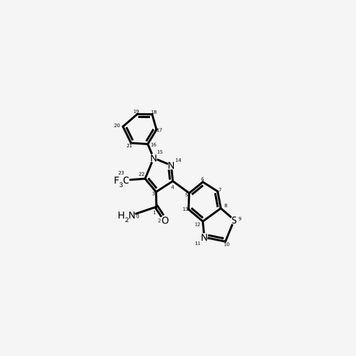 NC(=O)c1c(-c2ccc3scnc3c2)nn(-c2ccccc2)c1C(F)(F)F